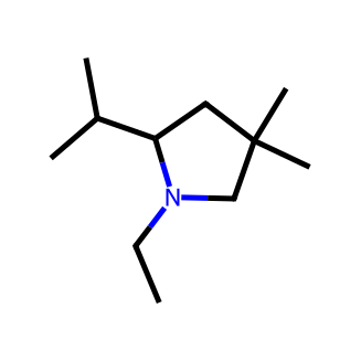 CCN1CC(C)(C)CC1C(C)C